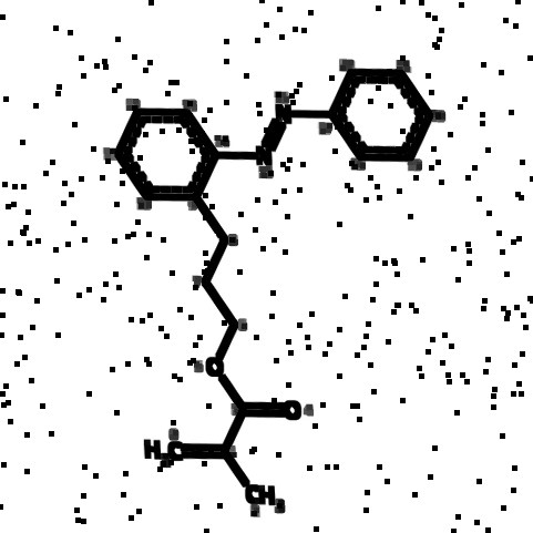 C=C(C)C(=O)OCCCc1ccccc1N=Nc1ccccc1